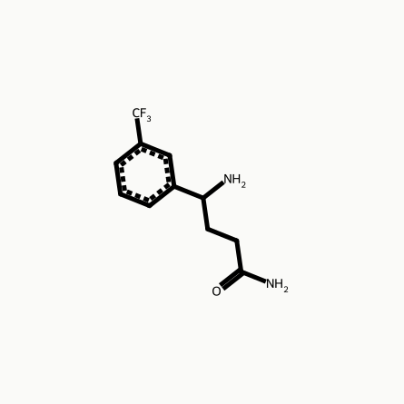 NC(=O)CCC(N)c1cccc(C(F)(F)F)c1